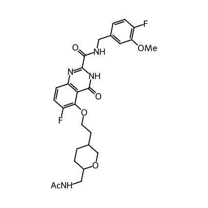 COc1cc(CNC(=O)c2nc3ccc(F)c(OCCC4CCC(CNC(C)=O)OC4)c3c(=O)[nH]2)ccc1F